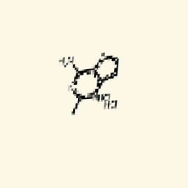 Cc1nc(N)c2sccc2n1.Cl.Cl